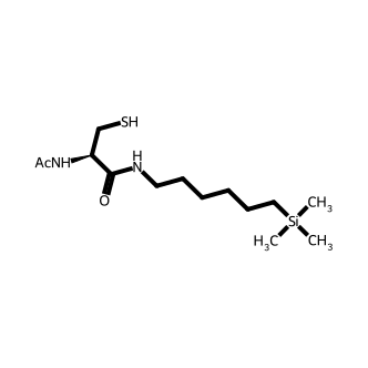 CC(=O)N[C@@H](CS)C(=O)NCCCCCC[Si](C)(C)C